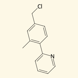 Cc1cc(CCl)ccc1-c1ccccn1